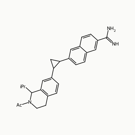 CC(=O)N1CCc2ccc(C3CC3c3ccc4cc(C(=N)N)ccc4c3)cc2C1C(C)C